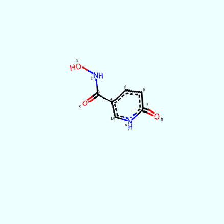 O=C(NO)c1ccc(=O)[nH]c1